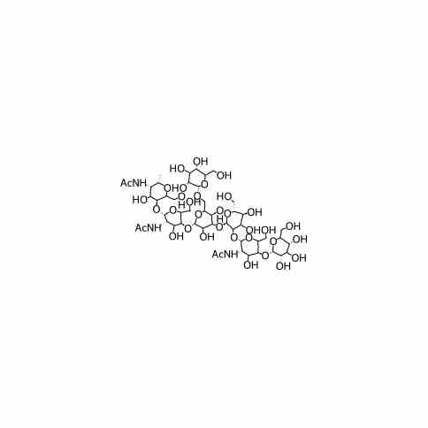 CC(=O)N[C@H]1C(O)[C@H](O[C@@H]2OC(CO)[C@H](O)C(O)[C@@H]2O)C(CO)O[C@H]1OC1C(O)[C@H](O)[C@@H](CO)O[C@@H]1OC1[C@H](O)C(CO[C@H]2OC(CO)[C@@H](O)C(O)[C@H]2O)O[C@@H](O[C@@H]2C(CO)O[C@@H](O[C@@H]3C(CO)O[C@@H](C)[C@@H](NC(C)=O)C3O)[C@@H](NC(C)=O)C2O)[C@@H]1O